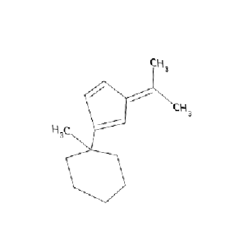 CC(C)=C1C=CC(C2(C)CCCCC2)=C1